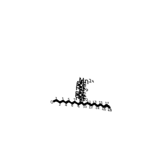 CCCCCCCCCCCCCCCCCCC.F[P-](F)(F)(F)(F)F.F[P-](F)(F)(F)(F)F.[Mn+2]